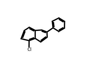 Clc1cccc2cc(-c3[c]cccc3)ccc12